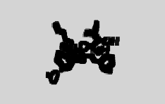 CCCCCN(CC(O)C(Cc1ccccc1)NC(=O)C(O)C(C)C)S(=O)(=O)c1ccc(OC)cc1